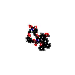 COCCCN1C(=O)COc2ccc(CO[C@H]3CN(C(=O)OCc4ccccc4)C[C@@H](COC(c4ccccc4)(c4ccccc4)c4ccccc4)[C@@H]3c3ccc(OC)cc3)cc21